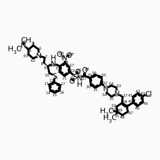 CN(C)C1CCN(CC[C@H](CSc2ccccc2)Nc2ccc(S(=O)(=O)NC(=O)c3ccc(N4CCN(CC5=C(c6ccc(Cl)cc6)CCC(C)(C)C5)CC4)cc3)cc2[N+](=O)[O-])CC1